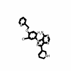 Nc1ncnc2c(C3=CCCNC3)nn(-c3ccc(OCc4ccccn4)c(Cl)c3)c12